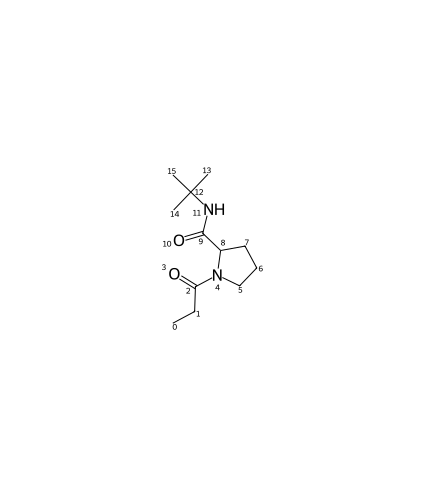 CCC(=O)N1CCCC1C(=O)NC(C)(C)C